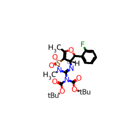 CC1=C2[C@@H](N=C(N(C(=O)OC(C)(C)C)C(=O)OC(C)(C)C)N(C)S2(=O)=O)C(c2ccccc2F)O1